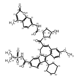 COc1ccc2c(c1)C=C(C(=O)N1C[C@H](O)C[C@H]1C(=O)Nc1ccc3c(C)cc(=O)oc3c1)Cn1c-2c(C2CCCCC2)c2ccc(C(=O)NS(=O)(=O)N(C)C)cc21